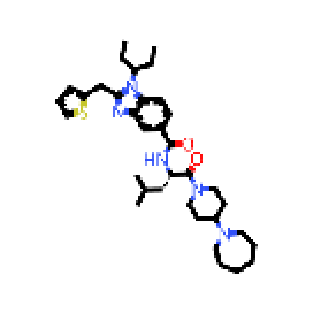 CCC(CC)n1c(Cc2cccs2)nc2cc(C(=O)N[C@@H](CC(C)C)C(=O)N3CCC(N4CCCCCC4)CC3)ccc21